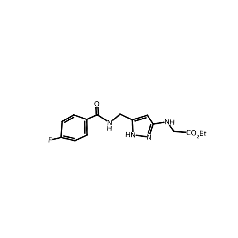 CCOC(=O)CNc1cc(CNC(=O)c2ccc(F)cc2)[nH]n1